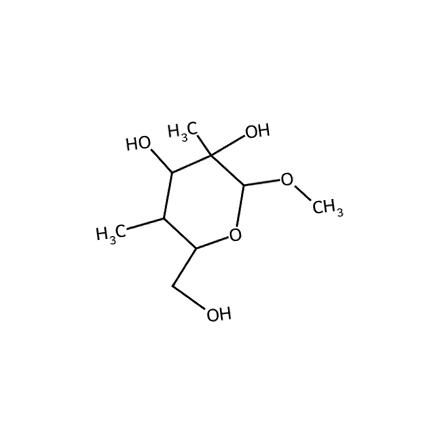 COC1OC(CO)C(C)C(O)C1(C)O